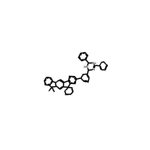 CC1(C)c2ccccc2C2C=C3C(=CC21)C1(CCCCC1)c1cc(C2C=CC=C(C4N=C(C5=CC=CCC5)NC(c5ccccc5)N4)C2)ccc13